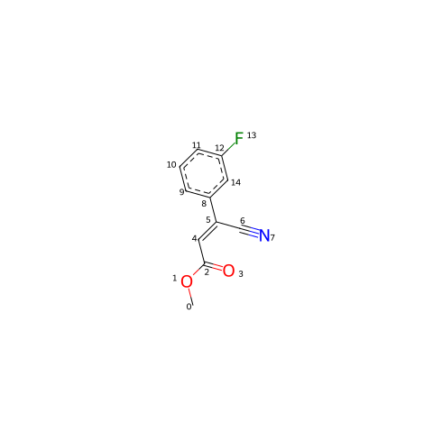 COC(=O)C=C(C#N)c1cccc(F)c1